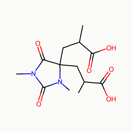 CC(CC1(CC(C)C(=O)O)C(=O)N(C)C(=O)N1C)C(=O)O